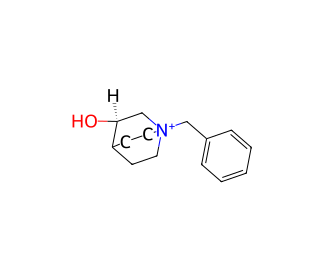 O[C@H]1C[N+]2(Cc3ccccc3)CCC1CC2